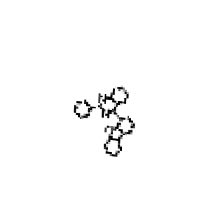 c1ccc(-c2nc(-c3cccc4c3oc3ccccc34)c3ccccc3n2)cc1